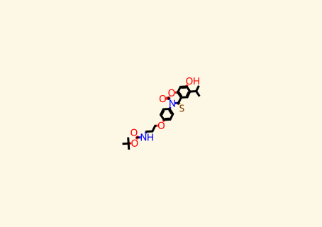 CC(C)c1cc2c(=S)n(-c3ccc(OCCCNC(=O)OC(C)(C)C)cc3)c(=O)oc2cc1O